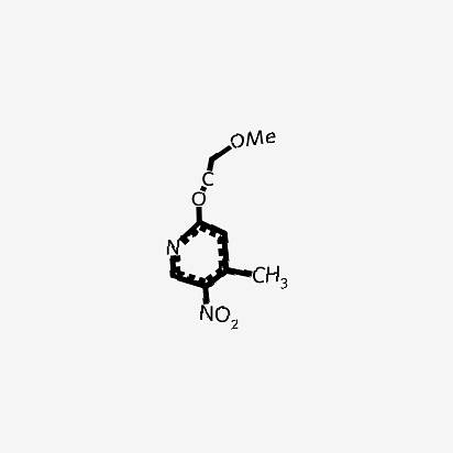 COCCOc1cc(C)c([N+](=O)[O-])cn1